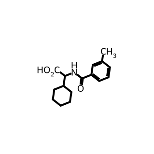 Cc1cccc(C(=O)NC(C(=O)O)C2CCCCC2)c1